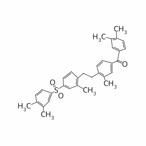 Cc1ccc(C(=O)c2ccc(CCc3ccc(S(=O)(=O)c4ccc(C)c(C)c4)cc3C)c(C)c2)cc1C